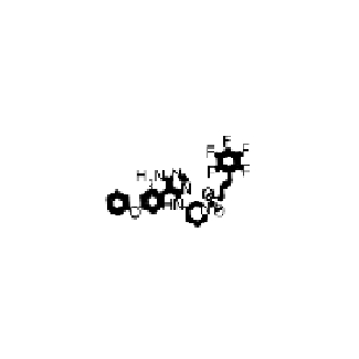 Nc1ncnc(N[C@@H]2CCCN(S(=O)(=O)CC=Cc3c(F)c(F)c(F)c(F)c3F)C2)c1-c1ccc(Oc2ccccc2)cc1